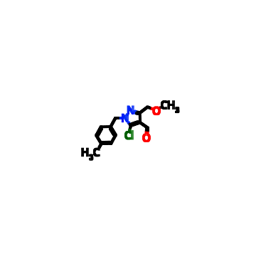 COCc1nn(Cc2ccc(C)cc2)c(Cl)c1C=O